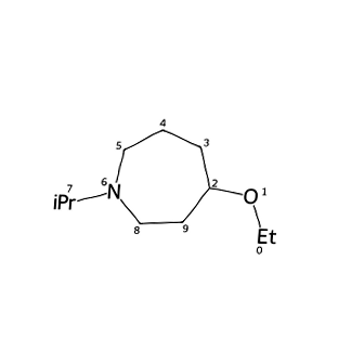 CCOC1CCCN(C(C)C)CC1